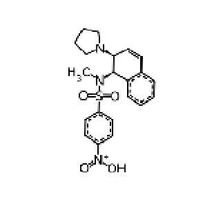 CN([C@@H]1c2ccccc2C=C[C@@H]1N1CCCC1)S(=O)(=O)c1ccc([N+](=O)O)cc1